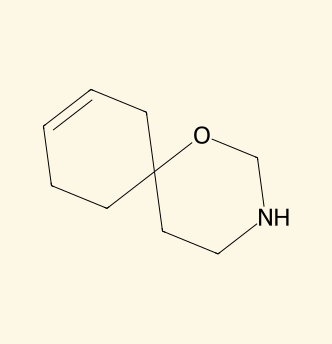 C1=CCC2(CC1)CCNCO2